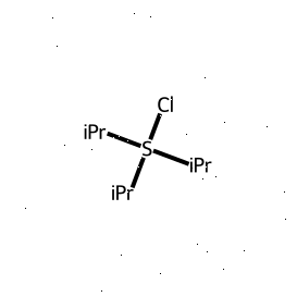 CC(C)S(Cl)(C(C)C)C(C)C